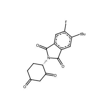 CC(C)(C)c1cc2c(cc1F)C(=O)N([C@H]1CCC(=O)CC1=O)C2=O